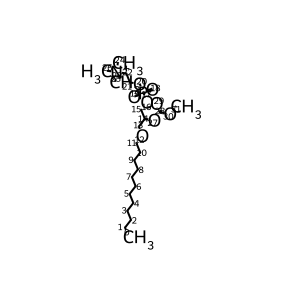 CCCCCCCCCCCCOCC(COP(=O)([O-])OCC[N+](C)(C)C)OC(=O)OC